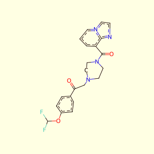 O=C(CN1CCN(C(=O)c2cccn3ccnc23)CC1)c1ccc(OC(F)F)cc1